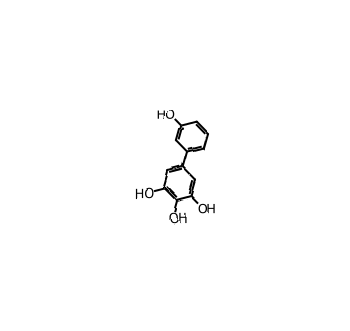 Oc1cccc(-c2cc(O)c(O)c(O)c2)c1